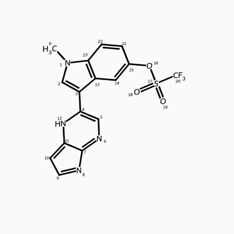 Cn1cc(-c2cnc3nccc-3[nH]2)c2cc(OS(=O)(=O)C(F)(F)F)ccc21